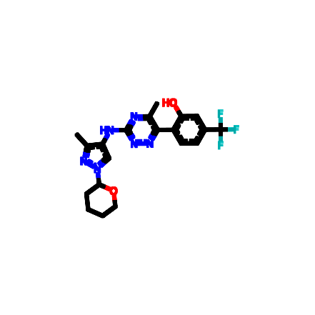 Cc1nn(C2CCCCO2)cc1Nc1nnc(-c2ccc(C(F)(F)F)cc2O)c(C)n1